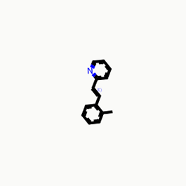 Cc1ccccc1/C=C/c1ccccn1